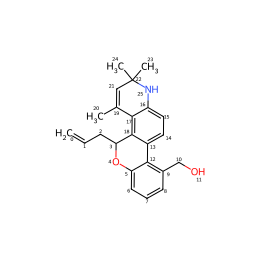 C=CCC1Oc2cccc(CO)c2-c2ccc3c(c21)C(C)=CC(C)(C)N3